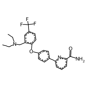 CCN(CC)Cc1cc(C(F)(F)F)ccc1Oc1ccc(-c2cccc(C(N)=O)n2)cc1